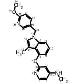 CNc1ccnc(Oc2cccc3c2c(C)cn3Cc2ccc(OC)nc2)c1